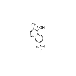 Cc1cnc2cc(C(F)(F)F)ccc2c1O